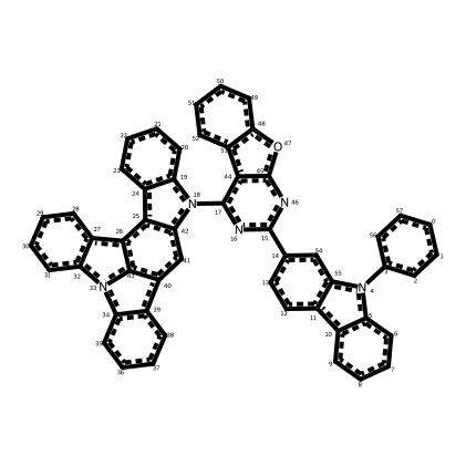 c1ccc(-n2c3ccccc3c3ccc(-c4nc(-n5c6ccccc6c6c7c8ccccc8n8c9ccccc9c(cc65)c78)c5c(n4)oc4ccccc45)cc32)cc1